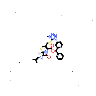 CC(C)=CN=C1C(=O)N2C(C(=O)OC(c3ccccc3)c3ccccc3)=C(CSc3nnnn3C)CS[C@@H]12